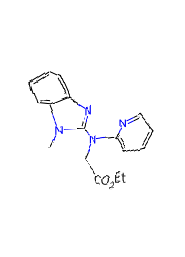 CCOC(=O)CN(c1ccccn1)c1nc2ccccc2n1C